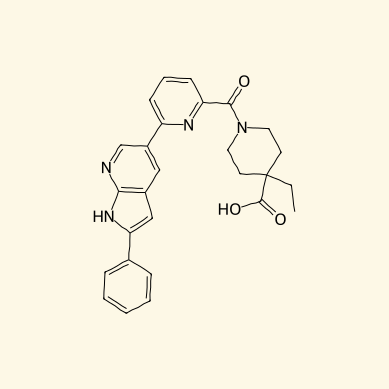 CCC1(C(=O)O)CCN(C(=O)c2cccc(-c3cnc4[nH]c(-c5ccccc5)cc4c3)n2)CC1